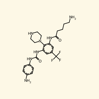 NCCCCC(=O)Nc1cc(C(F)(F)F)cc(NC(=O)Nc2ccc(N)cc2)c1N1CCNCC1